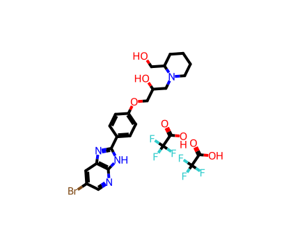 O=C(O)C(F)(F)F.O=C(O)C(F)(F)F.OCC1CCCCN1CC(O)COc1ccc(-c2nc3cc(Br)cnc3[nH]2)cc1